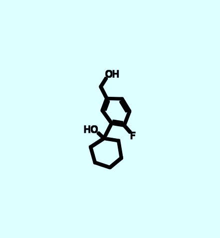 OCc1ccc(F)c(C2(O)CCCCC2)c1